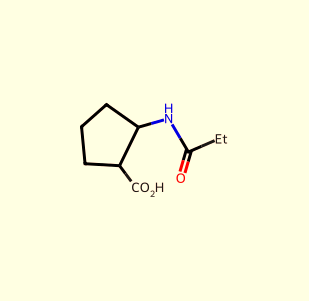 CCC(=O)NC1CCCC1C(=O)O